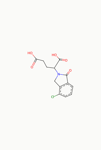 O=C(O)CCC(C(=O)O)N1Cc2c(Cl)cccc2C1=O